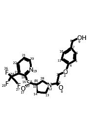 O=C(COc1ccc(CO)cc1)N1CC[C@@H]([S@+]([O-])c2ncccc2C(F)(F)F)C1